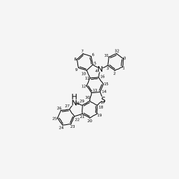 c1ccc(-n2c3ccccc3c3cc4c(cc32)sc2ccc3c5ccccc5[nH]c3c24)cc1